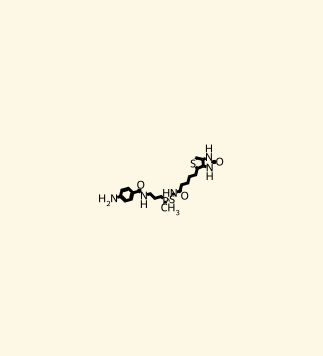 CP(CCCNC(=O)c1ccc(N)cc1)SNC(=O)CCCCC1SCC2NC(=O)NC21